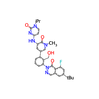 CC(C)n1ccc(Nc2cc(-c3cccc(-n4ncc5cc(C(C)(C)C)cc(F)c5c4=O)c3CO)cn(C)c2=O)nc1=O